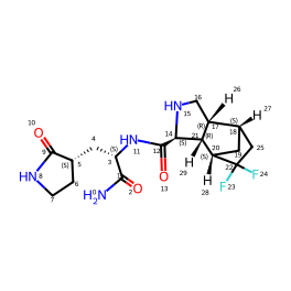 NC(=O)[C@H](C[C@@H]1CCNC1=O)NC(=O)[C@H]1NC[C@@H]2[C@H]3C[C@@H]([C@@H]21)C(F)(F)C3